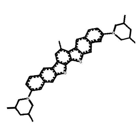 Cc1cc2c3cc4ccc(N5CC(C)CC(C)C5)cc4cc3oc2c2oc3cc4cc(N5CC(C)CC(C)C5)ccc4cc3c12